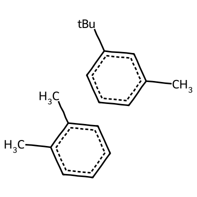 Cc1cccc(C(C)(C)C)c1.Cc1ccccc1C